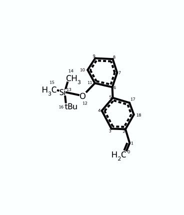 C=Cc1ccc(-c2ccccc2O[Si](C)(C)C(C)(C)C)cc1